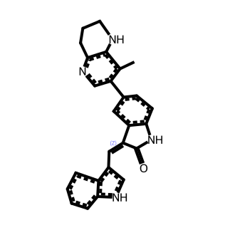 Cc1c(-c2ccc3c(c2)/C(=C/c2c[nH]c4ccccc24)C(=O)N3)cnc2c1NCCC2